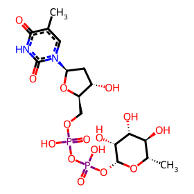 Cc1cn([C@H]2C[C@H](O)[C@@H](COP(=O)(O)OP(=O)(O)O[C@H]3O[C@@H](C)[C@H](O)[C@@H](O)[C@H]3O)O2)c(=O)[nH]c1=O